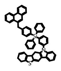 C1=CC2=C(CC1)SC1=Cc3c(n(-c4cccc([Si](c5ccccc5)(c5ccccc5)c5ccc(Cc6cc7ccccc7c7ccccc67)cc5)c4)c4ccccc34)CC12